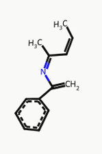 C=C(/N=C(C)\C=C/C)c1ccccc1